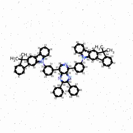 CC1(C)c2ccccc2-c2cc3c(cc21)c1ccccc1n3-c1cccc(-c2cnc(-c3cccc(-n4c5ccccc5c5cc6c(cc54)-c4ccccc4C6(C)C)c3)c3nc(-c4ccccc4)c(-c4ccccc4)nc23)c1